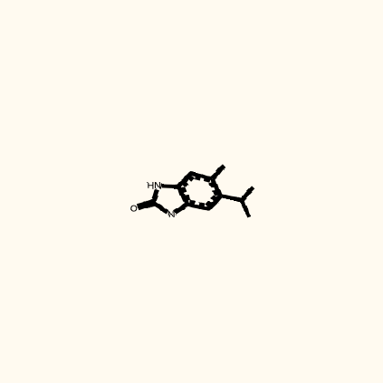 Cc1cc2c(cc1C(C)C)[N]C(=O)N2